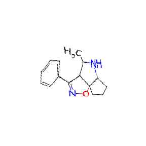 CC1NC2CCCC23ON=C(c2ccccc2)C13